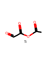 CC(=O)OC(=O)C=O.[Ti]